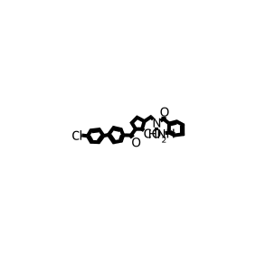 O=C(c1ccc(-c2ccc(Cl)cc2)cc1)C1CCC(CN2CNc3ccccc3C2=O)C1C(=O)O